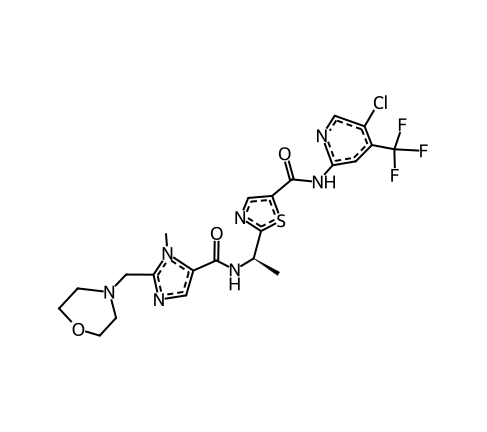 C[C@@H](NC(=O)c1cnc(CN2CCOCC2)n1C)c1ncc(C(=O)Nc2cc(C(F)(F)F)c(Cl)cn2)s1